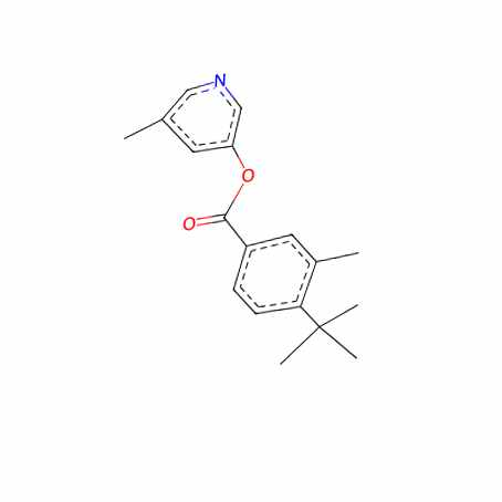 Cc1cncc(OC(=O)c2ccc(C(C)(C)C)c(C)c2)c1